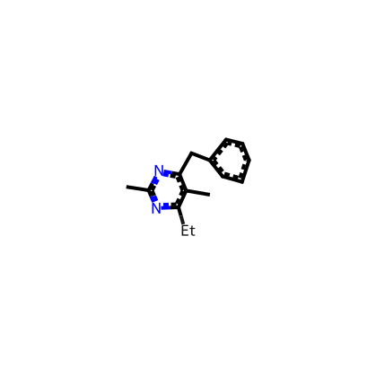 CCc1nc(C)nc(Cc2ccccc2)c1C